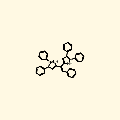 C1=C(C(=Cc2ccccc2)C2=CC(c3ccccc3)N(c3ccccc3)N2)NN(c2ccccc2)C1c1ccccc1